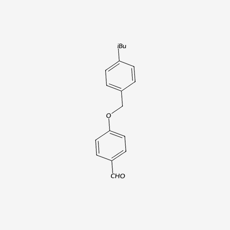 CCC(C)c1ccc(COc2ccc(C=O)cc2)cc1